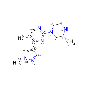 C[C@@H]1CN(c2ncc(C#N)c(-c3cnn(C)c3)n2)CCN1